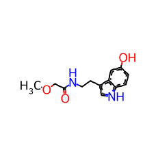 COCC(=O)NCCc1c[nH]c2ccc(O)cc12